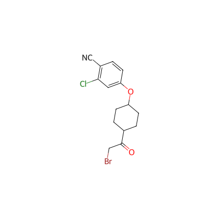 N#Cc1ccc(OC2CCC(C(=O)CBr)CC2)cc1Cl